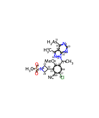 COc1c(C(C)n2nc(C)c3c([AsH2])ncnc32)cc(Cl)c(C#N)c1C1CN(S(C)(=O)=O)C1